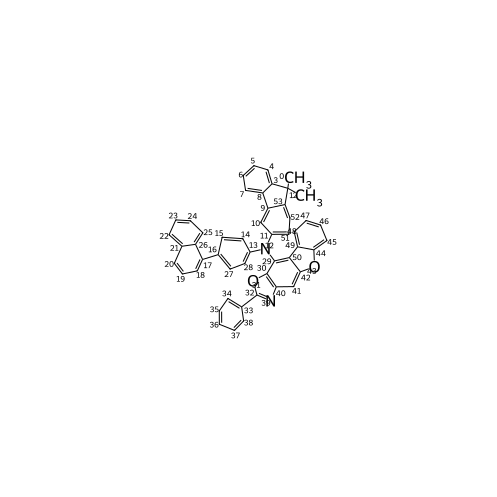 CC1(C)c2ccccc2-c2cc(N(c3ccc(-c4cccc5ccccc45)cc3)c3c4oc(-c5ccccc5)nc4cc4oc5ccccc5c34)ccc21